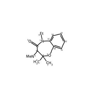 CCN1C(=O)C(NC)C(C)(C)Oc2ccccc21